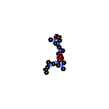 CC1(C)c2ccccc2-c2cc3c(cc21)c1cccc2c4cc5c(cc4n3c12)c1ccc(N(c2ccccc2)c2cccc(-c3ccc4c(c3)C(C)(C)c3ccc6c(c3-4)c3cccc4c7cc8c(cc7n6c43)c3ccc(N(c4ccccc4)c4ccccc4)c4c6c7c(ccc6n8c34)C(C)(C)c3ccccc3-7)c2)c2c3cc4c(cc3n5c12)-c1ccccc1C4(C)C